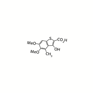 COc1cc2sc(C(=O)O)c(O)c2c(C)c1OC